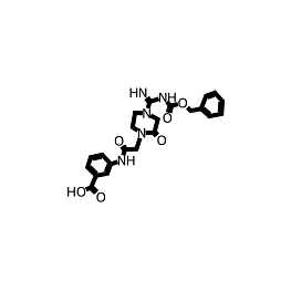 N=C(NC(=O)OCc1ccccc1)N1CCN(CC(=O)Nc2cccc(C(=O)O)c2)C(=O)C1